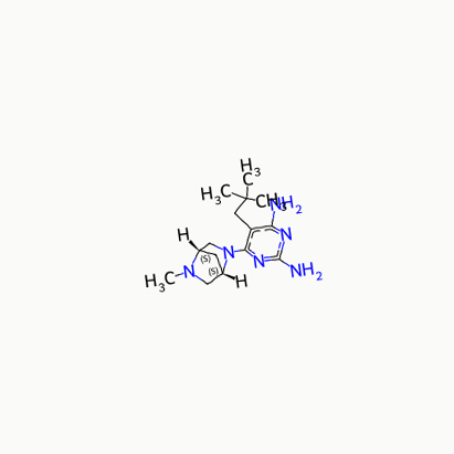 CN1C[C@@H]2C[C@H]1CN2c1nc(N)nc(N)c1CC(C)(C)C